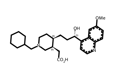 COc1ccc2nccc([C@@H](O)CC[C@@H]3CCN(CC4CCCCC4)C[C@@H]3CC(=O)O)c2c1